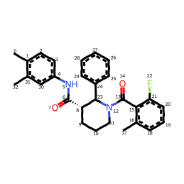 Cc1ccc(NC(=O)[C@H]2CCCN(C(=O)c3c(C)cccc3F)C2c2ccccc2)cc1C